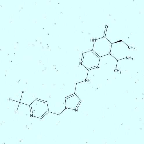 CC[C@@H]1C(=O)Nc2cnc(NCc3cnn(Cc4ccc(C(F)(F)F)nc4)c3)nc2N1C(C)C